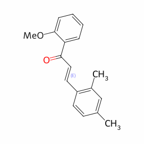 COc1ccccc1C(=O)/C=C/c1ccc(C)cc1C